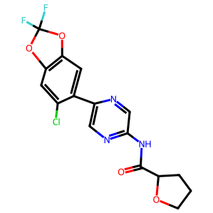 O=C(Nc1cnc(-c2cc3c(cc2Cl)OC(F)(F)O3)cn1)C1CCCO1